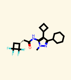 Cn1nc(C2CCCCC2)c(C2CCC2)c1NC(=O)C[C@H]1CC(F)(F)C1(F)F